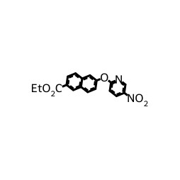 CCOC(=O)c1ccc2cc(Oc3ccc([N+](=O)[O-])cn3)ccc2c1